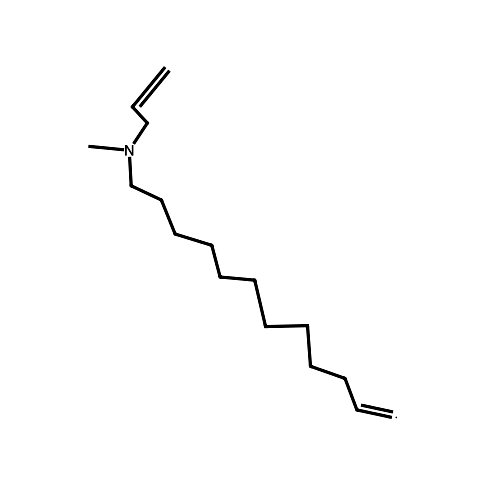 [CH]=CCCCCCCCCCCN(C)CC=C